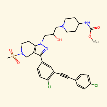 CC(C)(C)OC(=O)NC1CCN(CC(O)Cn2nc(-c3ccc(Cl)c(C#Cc4ccc(Cl)cc4)c3)c3c2CCN(S(C)(=O)=O)C3)CC1